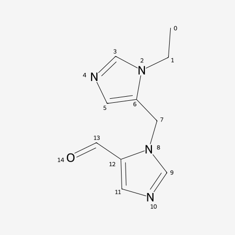 CCn1cncc1Cn1cncc1C=O